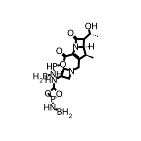 BNPOC(=O)C1=C(CN2CC(NC3OP(NB)O3)C2)[C@H](C)[C@@H]2C([C@@H](C)O)C(=O)N12